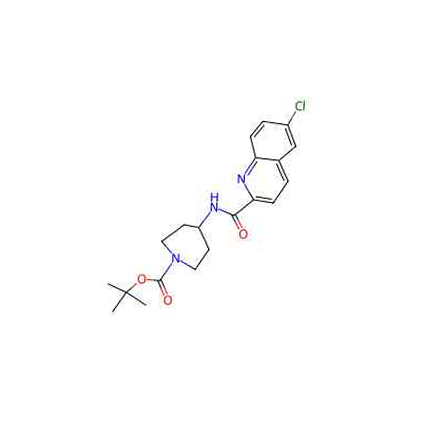 CC(C)(C)OC(=O)N1CCC(NC(=O)c2ccc3cc(Cl)ccc3n2)CC1